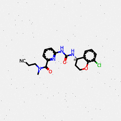 CN(CCC#N)C(=O)c1cccc(NC(=O)N[C@H]2CCOc3c(Cl)cccc32)n1